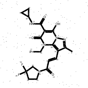 Cc1nn2c(O)c(C(=O)NC3CC3)c(=O)n(CC(C)C)c2c1C=CC(=O)N1CCC(F)(F)C1